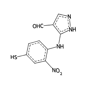 O=Cc1cn[nH]c1Nc1ccc(S)cc1[N+](=O)[O-]